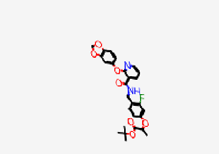 CC(Oc1ccc(CNC(=O)c2cccnc2Oc2ccc3c(c2)OCO3)c(F)c1)C(=O)OC(C)(C)C